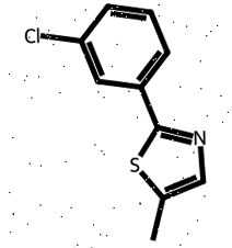 Cc1cnc(-c2cccc(Cl)c2)s1